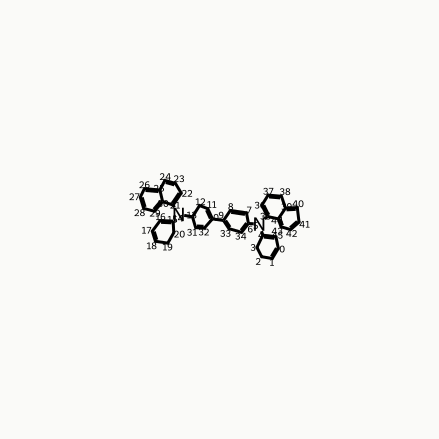 C1=CCCC(N(c2ccc(C3=CCC(N(C4=CC=CCC4)c4cccc5ccccc45)C=C3)cc2)c2cccc3ccccc23)=C1